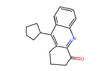 O=C1CCCc2c1nc1ccccc1c2C1CCCC1